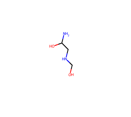 NC(O)CNCO